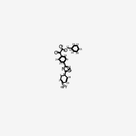 CC(C)C1=CCC(c2nc(-c3ccc(C(=O)C(=O)OCc4ccccc4)cc3)no2)C=C1